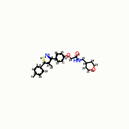 Cc1ccc(-c2snc(-c3ccc(OCC(=O)NCC4CCOCC4)cc3)c2C)cc1